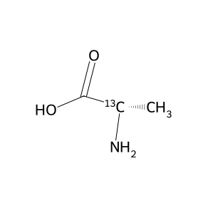 C[13C@H](N)C(=O)O